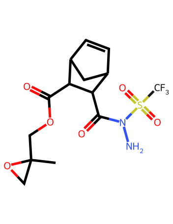 CC1(COC(=O)C2C3C=CC(C3)C2C(=O)N(N)S(=O)(=O)C(F)(F)F)CO1